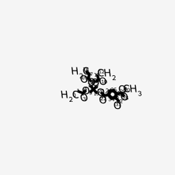 C=CC(=O)OCC(COC(=O)C=C)(COC(=O)C=C)COC(=O)c1ccc(C(=O)OC)c(C=O)c1